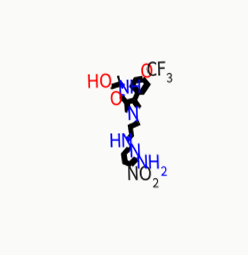 C[C@H](CO)NC(=O)c1cn(CCCNc2ccc([N+](=O)[O-])c(N)n2)cc1-c1ccc(OC(F)(F)F)cc1